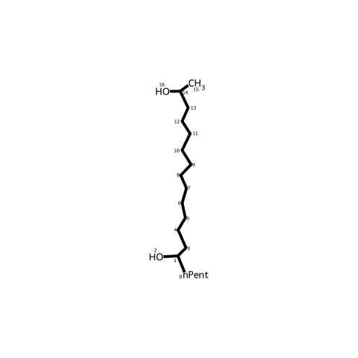 CCCCCC(O)CCCCCCCCCCCC(C)O